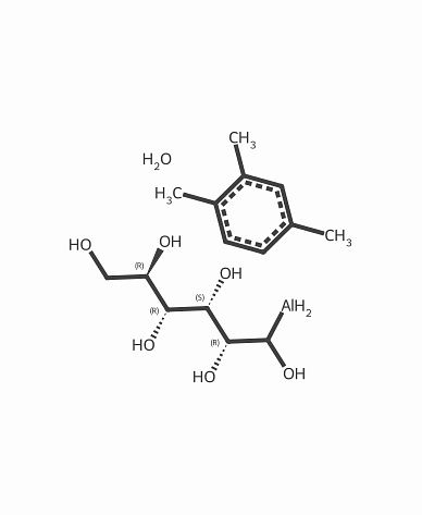 Cc1ccc(C)c(C)c1.O.OC[C@@H](O)[C@@H](O)[C@H](O)[C@@H](O)[CH](O)[AlH2]